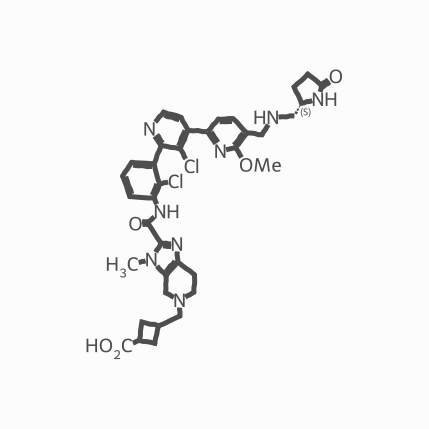 COc1nc(-c2ccnc(-c3cccc(NC(=O)c4nc5c(n4C)CN(CC4CC(C(=O)O)C4)CC5)c3Cl)c2Cl)ccc1CNC[C@@H]1CCC(=O)N1